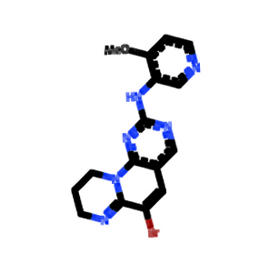 COc1ccncc1Nc1ncc2c(n1)N1CCCN=C1C(Br)=C2